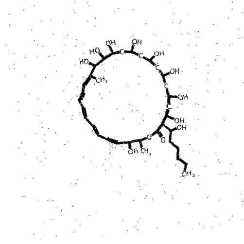 CCCCCC(O)C1C(=O)OC(C)C(O)/C=C/C=C/C=C/C=C/C=C(\C)C(O)C(O)C(O)CC(O)CC(O)CC(O)CC(O)CC1O